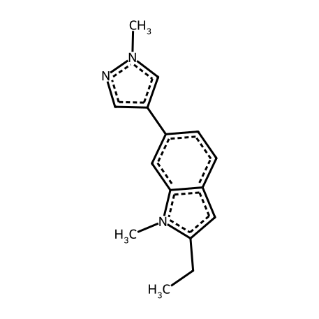 CCc1cc2ccc(-c3cnn(C)c3)cc2n1C